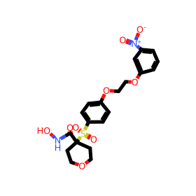 O=C(NO)C1(S(=O)(=O)c2ccc(OCCOc3cccc([N+](=O)[O-])c3)cc2)CCOCC1